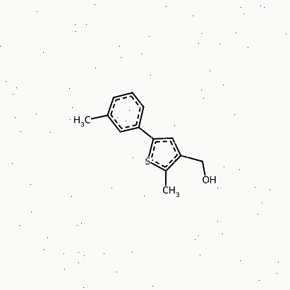 Cc1cccc(-c2cc(CO)c(C)s2)c1